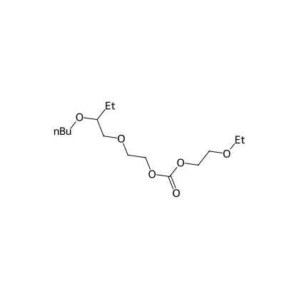 CCCCOC(CC)COCCOC(=O)OCCOCC